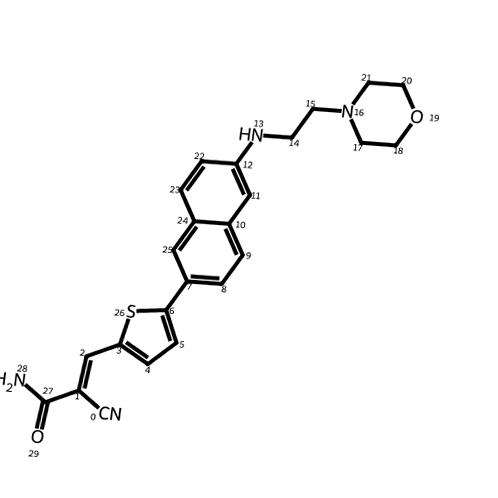 N#C/C(=C\c1ccc(-c2ccc3cc(NCCN4CCOCC4)ccc3c2)s1)C(N)=O